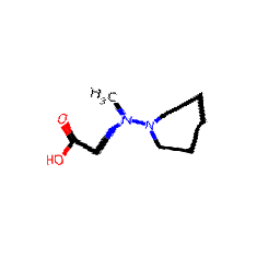 CN(CC(=O)O)N1CCCCC1